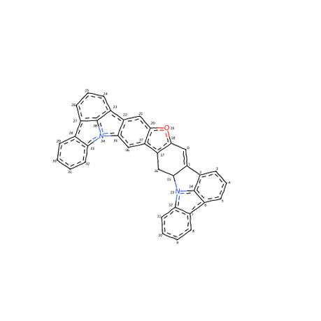 C1=C2c3cccc4c5ccccc5n(c34)C2Cc2c1oc1cc3c4cccc5c6ccccc6n(c3cc21)c54